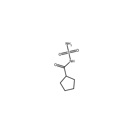 NS(=O)(=O)NC(=O)C1CCCC1